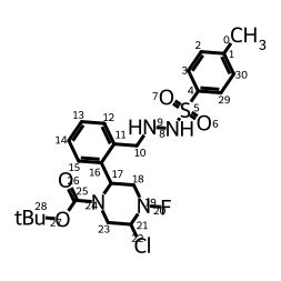 Cc1ccc(S(=O)(=O)NNCc2ccccc2C2CN(F)C(Cl)CN2C(=O)OC(C)(C)C)cc1